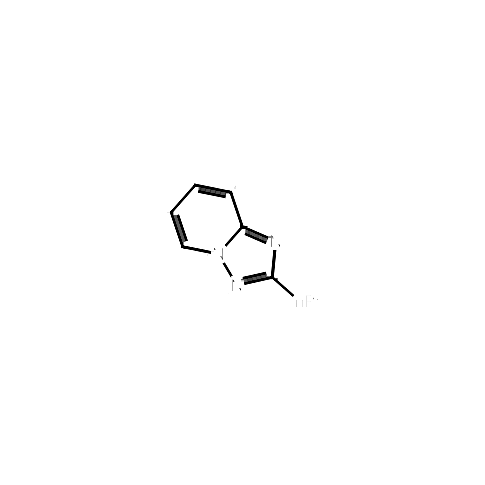 CCCc1nc2ccccn2n1